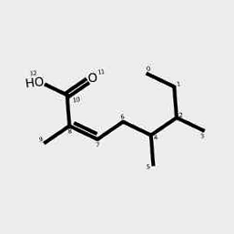 CCC(C)C(C)CC=C(C)C(=O)O